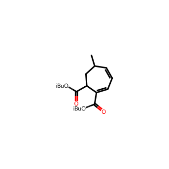 CC(C)COC(=O)C1=CC=CC(C)CC1C(=O)OCC(C)C